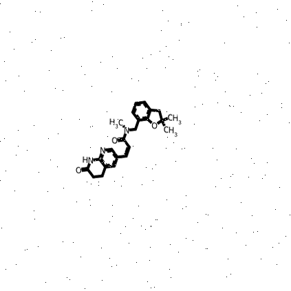 CN(Cc1cccc2c1OC(C)(C)C2)C(=O)/C=C\c1cnc2c(c1)CCC(=O)N2